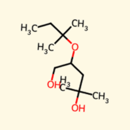 CCC(C)(C)OC(CO)CC(C)(C)O